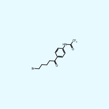 O=C(CCCCBr)c1ccc(NC(=O)C(F)(F)F)cc1